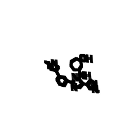 Cn1cc(-c2cccc(-c3ncc(-c4cnn(C)c4)c(N[C@@H]4CCCC[C@H](O)C4)n3)c2)cn1